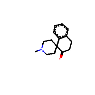 CN1CCC2(CC1)C(=O)CCc1ccccc12